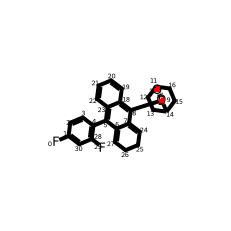 Fc1ccc(-c2c3c(c(B4OC5CCC(CC5)O4)c4ccccc24)=CCCC=3)c(F)c1